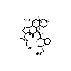 CC(=O)CC[C@@H](C)C1CCC2C3C([C@H](NC(=O)C4CCCN4C(=O)OC(C)(C)C)C(=O)[C@@]21C)[C@@]1(C)CC[C@@H](C)C[C@H]1C[C@H]3OC(C)=O